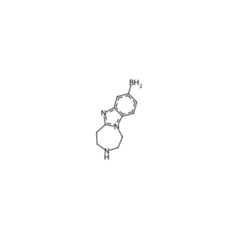 Bc1ccc2c(c1)nc1n2CCNCC1